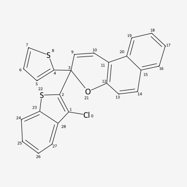 Clc1c(C2(c3cccs3)C=Cc3c(ccc4ccccc34)O2)sc2ccccc12